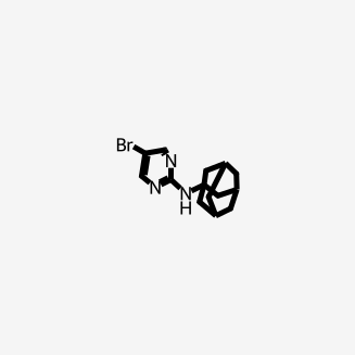 Brc1cnc(NC23CC4CC(CC(C4)C2)C3)nc1